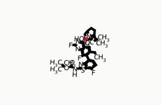 CCc1cc2c(N3CC4CCC(C(C)(C)C)(C3)N4C(=O)O)nc(F)nc2c(F)c1-c1ccc(F)c2sc(NC(=O)OC(C)(C)C)nc12